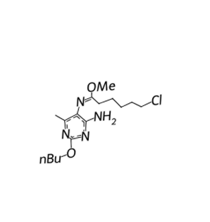 CCCCOc1nc(C)c(/N=C(\CCCCCCl)OC)c(N)n1